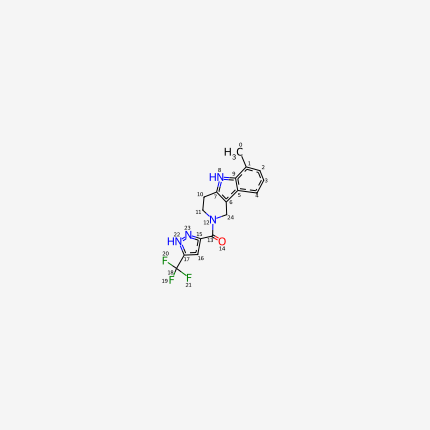 Cc1cccc2c3c([nH]c12)CCN(C(=O)c1cc(C(F)(F)F)[nH]n1)C3